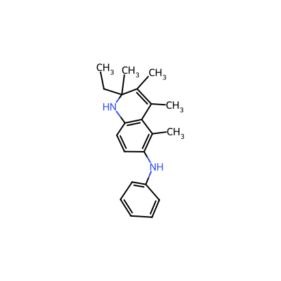 CCC1(C)Nc2ccc(Nc3ccccc3)c(C)c2C(C)=C1C